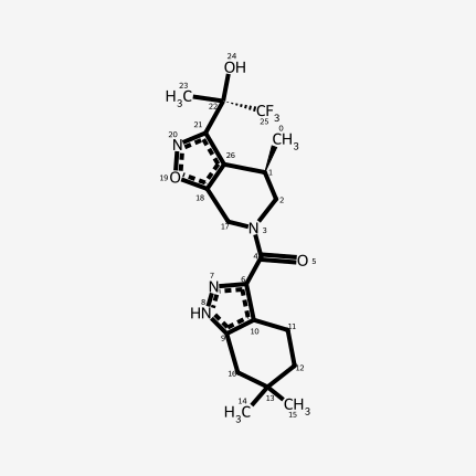 C[C@H]1CN(C(=O)c2n[nH]c3c2CCC(C)(C)C3)Cc2onc([C@@](C)(O)C(F)(F)F)c21